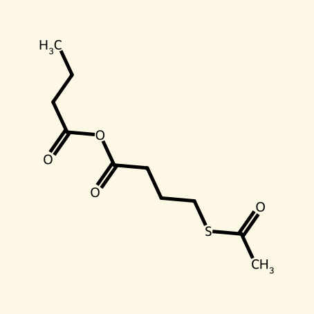 CCCC(=O)OC(=O)CCCSC(C)=O